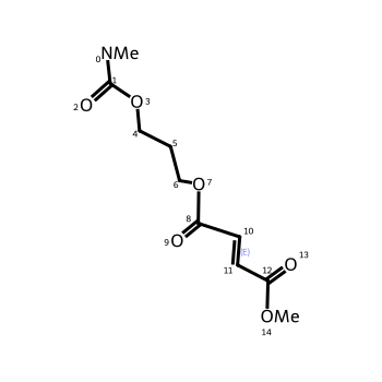 CNC(=O)OCCCOC(=O)/C=C/C(=O)OC